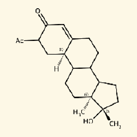 CC(=O)C1C[C@H]2C(=CC1=O)CCC1C2CC[C@@]2(C)C1CC[C@]2(C)O